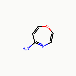 NC1=NC=COC=C1